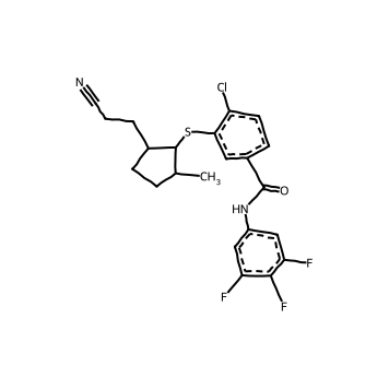 CC1CCC(CCC#N)C1Sc1cc(C(=O)Nc2cc(F)c(F)c(F)c2)ccc1Cl